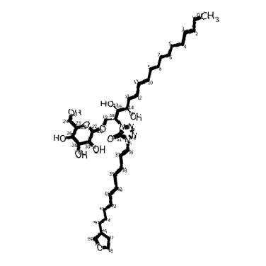 CCCCCCCCCCCCCC[C@@H](O)[C@@H](O)[C@H](COC1OC(CO)C(O)C(O)C1O)n1nnn(CCCCCCCCCCC2CCOC2)c1=O